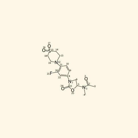 CC(=O)N(C)C1CN(c2ccc(N3CCS(=O)(=O)CC3)c(F)c2)C(=O)O1